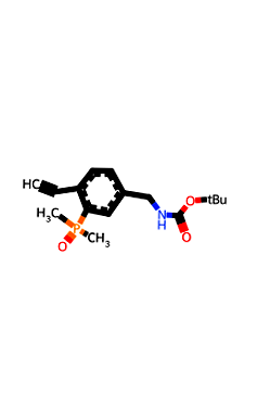 C#Cc1ccc(CNC(=O)OC(C)(C)C)cc1P(C)(C)=O